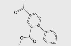 COC(=O)c1cc(C(C)=O)ccc1-c1ccccc1